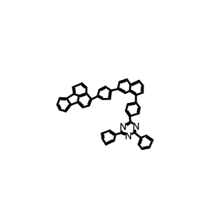 c1ccc(-c2nc(-c3ccccc3)nc(-c3ccc(-c4cccc5ccc(-c6ccc(-c7ccc8c9c(cccc79)-c7ccccc7-8)cc6)cc45)cc3)n2)cc1